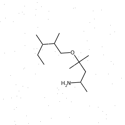 CCC(C)C(C)COC(C)(C)CC(C)N